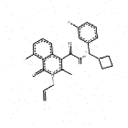 C=CCn1c(C)c(C(=O)N[C@H](c2cccc(F)c2)C2CCC2)c2cccc(F)c2c1=O